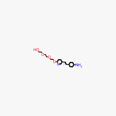 Nc1ccc(/C=C/c2ccc(OCCOCCOCCO)nc2)cc1